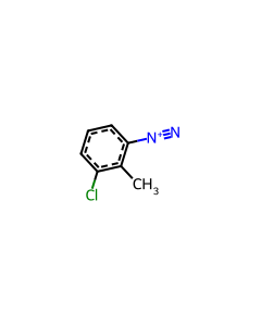 Cc1c(Cl)cccc1[N+]#N